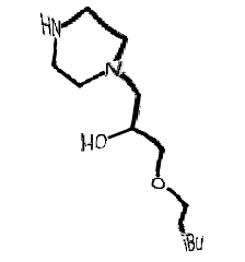 CCC(C)COCC(O)CN1CCNCC1